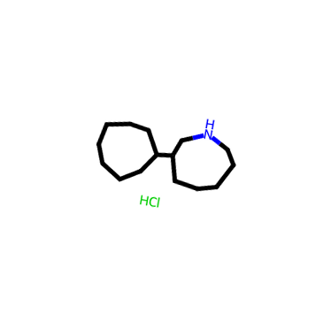 C1CCCC(C2CCCCCNC2)CCC1.Cl